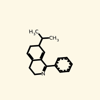 CC(C)C1C=C2C(=CC1)CCN=C2c1ccccc1